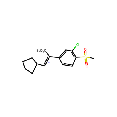 CCOC(=O)/C(=C\C1CCCC1)c1ccc(S(C)(=O)=O)c(Cl)c1